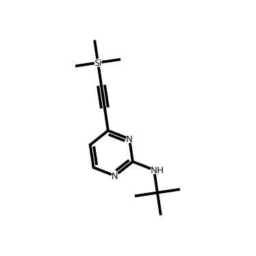 CC(C)(C)Nc1nccc(C#C[Si](C)(C)C)n1